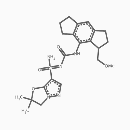 COCC1CCc2cc3c(c(NC(=O)N=S(N)(=O)c4cnn5c4OC(C)(C)C5)c21)CCC3